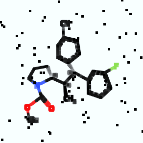 C[C@H]([C@H](c1ccc(C#N)cc1)c1cccc(F)c1)[C@H]1CCCN1C(=O)OC(C)(C)C